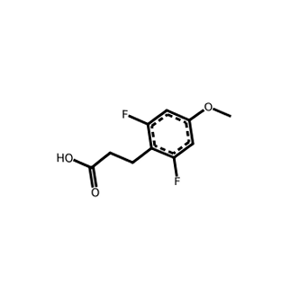 COc1cc(F)c(CCC(=O)O)c(F)c1